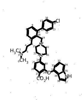 CN(C)CCCc1cccc(-c2ccc(Cl)cc2)c1CN1CCN(c2ccc(C(=O)O)c(Oc3cccc4[nH]ccc34)c2)CC1